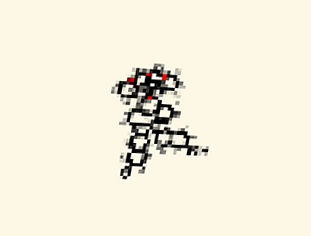 Oc1ccc2cc(C3(c4ccc5cc(O)ccc5c4)c4cccc(-c5cc6ccccc6c6ccccc56)c4-c4c(-c5cc6ccccc6c6ccccc56)cccc43)ccc2c1